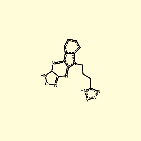 c1ccc2c(c1)c1c(n2CCCc2nnn[nH]2)=NC2=NONC2N=1